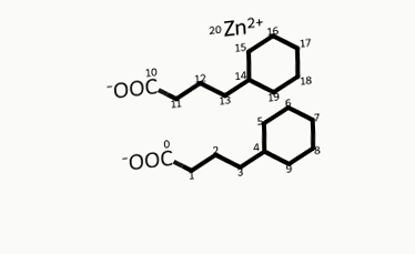 O=C([O-])CCCC1CCCCC1.O=C([O-])CCCC1CCCCC1.[Zn+2]